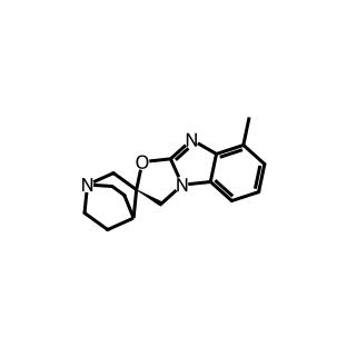 Cc1cccc2c1nc1n2C[C@@]2(CN3CCC2CC3)O1